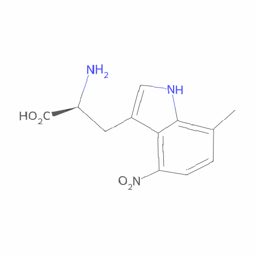 Cc1ccc([N+](=O)[O-])c2c(C[C@H](N)C(=O)O)c[nH]c12